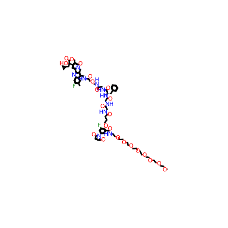 COCCOCCOCCOCCOCCOCCOCCOCCNC(=O)c1cc(N2C(=O)C=CC2=O)cc(F)c1OCCCC(=O)NCC(=O)NCC(=O)N[C@@H](Cc1ccccc1)C(=O)NCC(=O)NCOCC(=O)NCc1c2c(nc3cc(F)c(C)cc13)-c1cc3c(c(=O)n1C2)COC(=O)[C@]3(O)CC1CC1